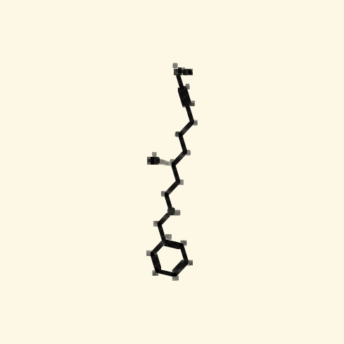 CCCCCCC#CCCC[C@@H](O)CCOCc1ccccc1